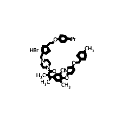 Br.C/C(C(=O)N1CCN(Cc2ccc(CCOc3ccc(C(C)C)cc3)cc2)CC1)=C(\C)c1cc(C)c(Oc2ccc(OCc3ccc(C)cc3)cn2)c(Cl)c1